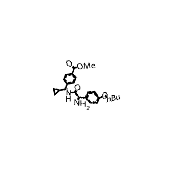 CCCCOc1ccc(C(N)C(=O)N[C@@H](c2ccc(C(=O)OC)cc2)C2CC2)cc1